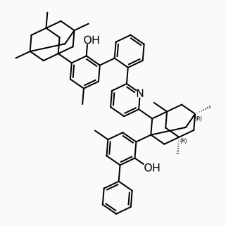 Cc1cc(-c2ccccc2-c2cccc(C3C4(C)C[C@]5(C)CC3(c3cc(C)cc(-c6ccccc6)c3O)C[C@@](C)(C4)C5)n2)c(O)c(C23CC4(C)CC(C)(CC(C)(C4)C2)C3)c1